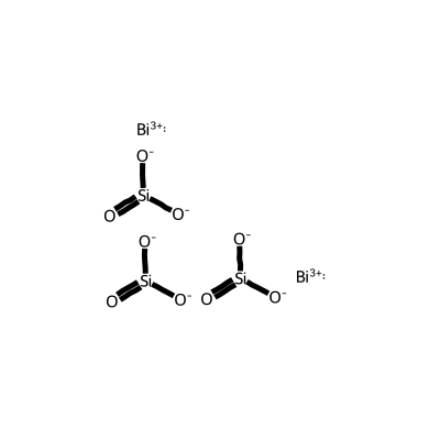 O=[Si]([O-])[O-].O=[Si]([O-])[O-].O=[Si]([O-])[O-].[Bi+3].[Bi+3]